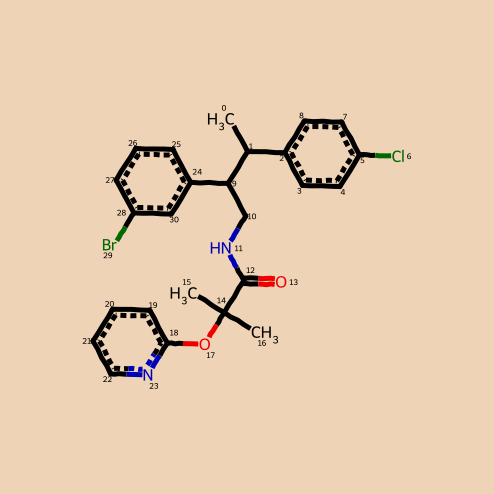 CC(c1ccc(Cl)cc1)C(CNC(=O)C(C)(C)Oc1ccccn1)c1cccc(Br)c1